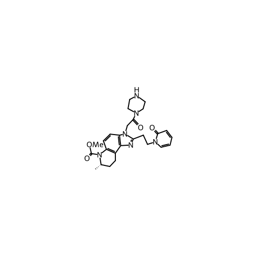 COC(=O)N1c2ccc3c(nc(CCn4ccccc4=O)n3CC(=O)N3CCNCC3)c2CC[C@@H]1C